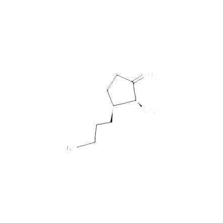 C=C1CC[C@H](CCCC#N)[C@@H]1C